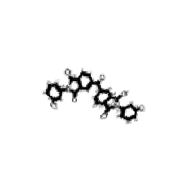 O=C(c1ccc2c(c1)C(=O)N(c1cccc(Cl)c1)C2=O)c1ccc2c(c1)C(=O)N(c1cccc(Cl)c1)C2=O